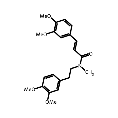 COc1ccc(C=CC(=O)N(C)CCc2ccc(OC)c(OC)c2)cc1OC